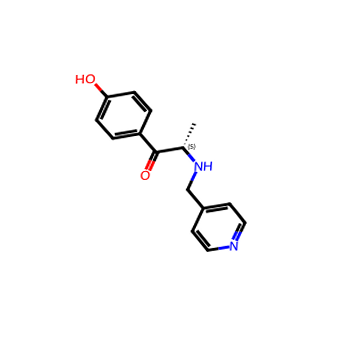 C[C@H](NCc1ccncc1)C(=O)c1ccc(O)cc1